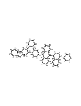 c1ccc(-c2ccc(-c3c4ccccc4c(-c4ccc5c(c4)c4ccccc4c4cc6c(cc54)oc4ccccc46)c4ccccc34)c3ccccc23)cc1